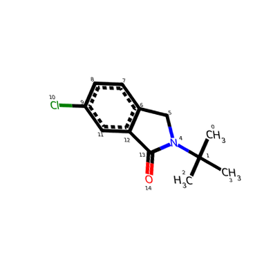 CC(C)(C)N1Cc2ccc(Cl)cc2C1=O